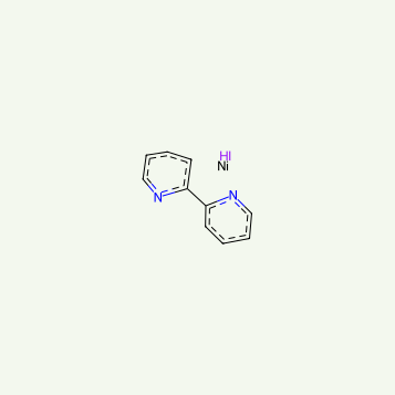 I.[Ni].c1ccc(-c2ccccn2)nc1